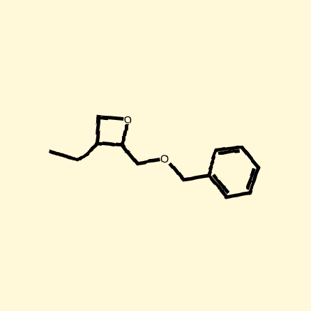 CCC1COC1COCc1ccccc1